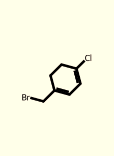 ClC1=CC=C(CBr)CC1